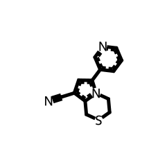 N#Cc1cc(-c2cccnc2)n2c1CSCC2